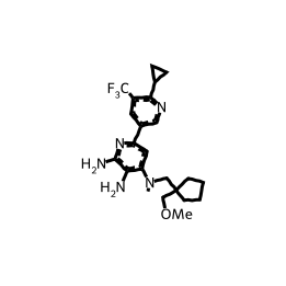 COCC1(CN(C)c2cc(-c3cnc(C4CC4)c(C(F)(F)F)c3)nc(N)c2N)CCCC1